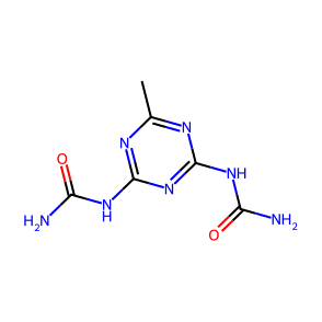 Cc1nc(NC(N)=O)nc(NC(N)=O)n1